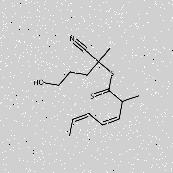 C/C=C\C=C/C(C)C(=S)SC(C)(C#N)CCCO